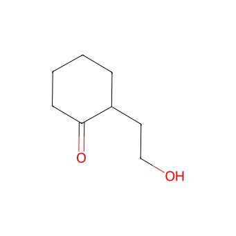 O=C1CCCCC1CCO